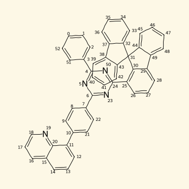 c1ccc(-c2nc(-c3ccc(-c4cccc5cccnc45)cc3)nc(-c3cccc4c3C3(c5ccccc5-c5ccccc53)c3ccccc3-4)n2)cc1